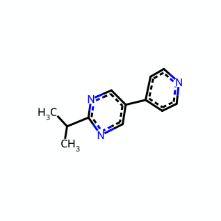 CC(C)c1ncc(-c2ccncc2)cn1